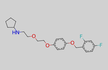 Fc1ccc(COc2ccc(OCCOCCNC3CCCC3)cc2)c(F)c1